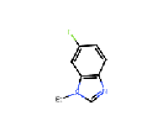 CCn1cnc2ccc(F)cc21